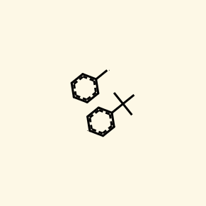 CC(C)(C)c1cc[c]cc1.[CH2]c1ccccc1